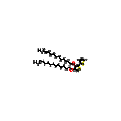 CCCCCCCCCCCCOc1csc(-c2cccs2)c1OCCCCCCCCCCCC